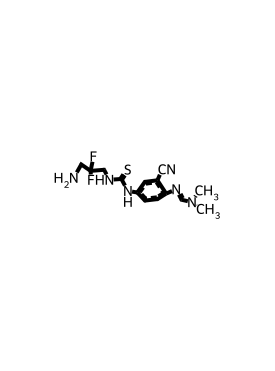 CN(C)C=Nc1ccc(NC(=S)NCC(F)(F)CN)cc1C#N